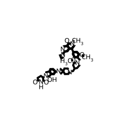 COc1cc(-c2cn(C)c(=O)c3cnc(N4CCC4)cc23)cc(OC)c1CN1CCC(CN2CCC3(CC2)CN(c2ccc4c(c2)C(O)N(C2CCC(=O)NC2=O)C4)C3)CC1